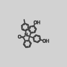 Cc1ccc(N2C(=O)c3ccccc3C2(c2ccc(O)cc2)c2ccc(O)cc2)cc1